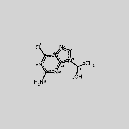 CC(O)n1cnc2c(Cl)nc(N)nc21